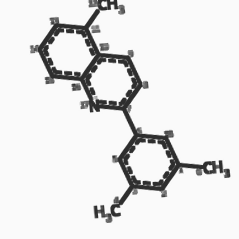 Cc1cc(C)cc(-c2ccc3c(C)cccc3n2)c1